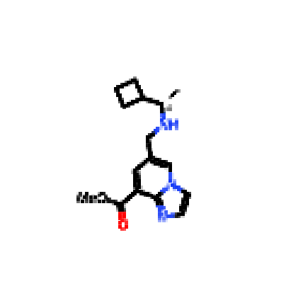 COC(=O)c1cc(CN[C@@H](C)C2CCC2)cn2ccnc12